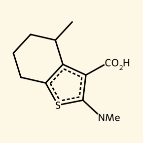 CNc1sc2c(c1C(=O)O)C(C)CCC2